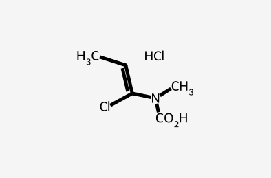 CC=C(Cl)N(C)C(=O)O.Cl